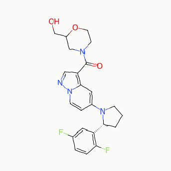 O=C(c1cnn2ccc(N3CCC[C@@H]3c3cc(F)ccc3F)cc12)N1CCOC(CO)C1